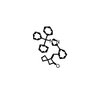 O=C1CC2(CCC2)C1=Cc1ccccc1-c1cn(C(c2ccccc2)(c2ccccc2)c2ccccc2)cn1